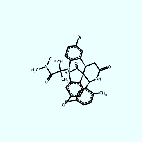 Cc1ccc(Cl)cc1[C@@H]1NC(=O)C[C@H](c2cc(Br)ccc2OC(C)(C)C(=O)N(C)C)[C@@]12C(=O)Nc1cc(Cl)ccc12